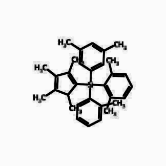 CC1=C(C)C(C)C([Si](c2cc(C)cc(C)c2)(c2ccccc2C)c2c(C)cccc2C)=C1C